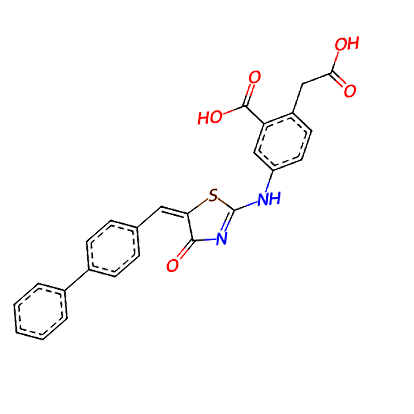 O=C(O)Cc1ccc(NC2=NC(=O)/C(=C\c3ccc(-c4ccccc4)cc3)S2)cc1C(=O)O